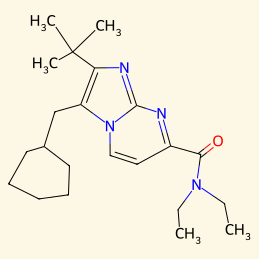 CCN(CC)C(=O)c1ccn2c(CC3CCCCC3)c(C(C)(C)C)nc2n1